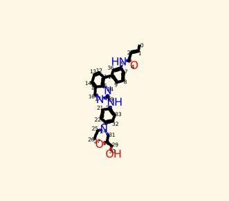 CC=CC(=O)Nc1cccc(-c2cccc3cnc(Nc4ccc(N5CCOC(CO)C5)cc4)nc23)c1